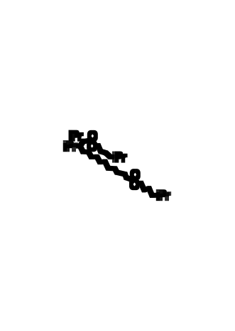 CC(C)CCCCOC(=O)CCCCCCCCCCCC(C(C)C)C(C(=O)OCCCCC(C)C)C(C)C